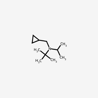 CC(C)N(CC1CC1)C(C)(C)C